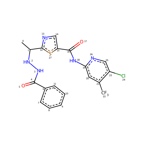 CC(NNC(=O)c1ccccc1)c1ncc(C(=O)Nc2cc(C(F)(F)F)c(Cl)cn2)s1